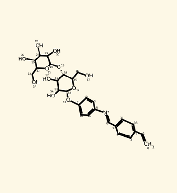 C=Cc1ccc(/C=N/c2ccc(O[C@@H]3OC(CO)[C@@H](O[C@H]4OC(CO)[C@@H](O)C(O)C4O)C(O)C3O)cc2)cc1